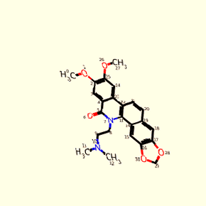 COc1cc2c(=O)n(CCN(C)C)c3c4cc5c(cc4ccc3c2cc1OC)OCO5